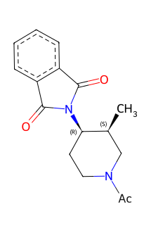 CC(=O)N1CC[C@@H](N2C(=O)c3ccccc3C2=O)[C@@H](C)C1